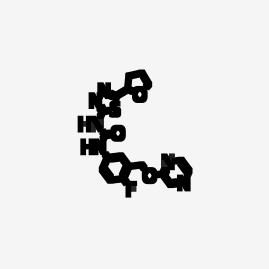 O=C(Nc1ccc(F)c(COc2cnccn2)c1)Nc1nnc(C2CCCO2)s1